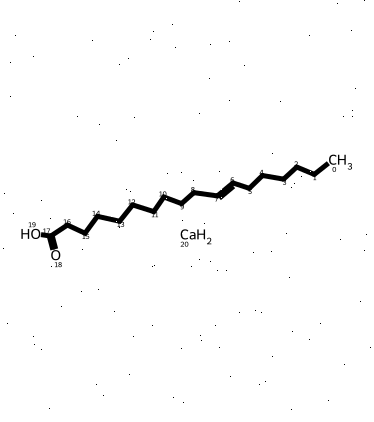 CCCCCCC=CCCCCCCCCCC(=O)O.[CaH2]